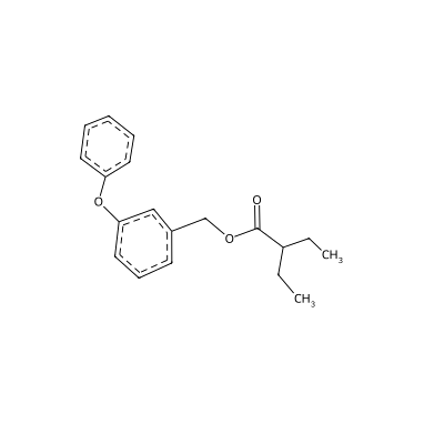 CCC(CC)C(=O)OCc1cccc(Oc2ccccc2)c1